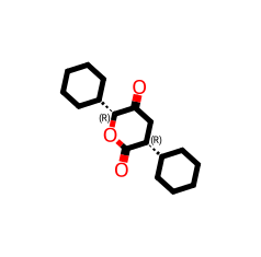 O=C1O[C@H](C2CCCCC2)C(=O)C[C@@H]1C1CCCCC1